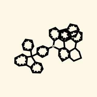 c1ccc(C2(c3ccc(N(c4ccccc4-c4cccc5cccc(C6CCCCC6)c45)c4cccc5c4oc4ccccc45)cc3)c3ccccc3-c3ccccc32)cc1